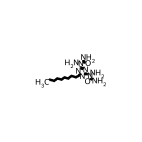 CCCCCCCCCc1nc(N(N)C(N)=O)nc(N(N)C(N)=O)n1